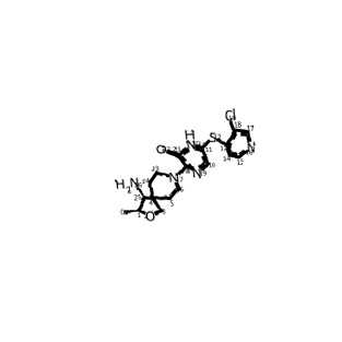 C[C@@H]1OCC2(CCN(c3ncc(Sc4ccncc4Cl)[nH]c3=O)CC2)[C@@H]1N